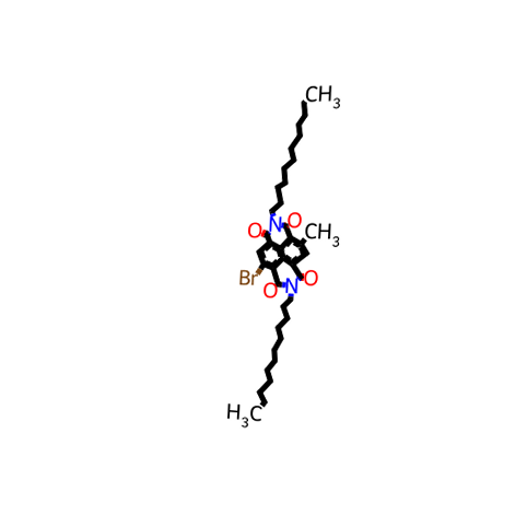 CCCCCCCCCCCCN1C(=O)c2cc(Br)c3c4c(cc(C)c(c24)C1=O)C(=O)N(CCCCCCCCCCCC)C3=O